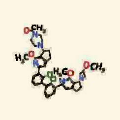 COc1nc(-c2cccc(-c3cccc(-c4cc5c(c(OC)n4)C(N4CC(OC)C4)CC5)c3Cl)c2Cl)cc2c1C(N1CCN(C(C)=O)CC1)CC2